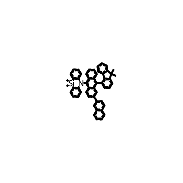 CC1(C)c2ccccc2-c2c(-c3c4ccccc4c(N4c5ccccc5[Si](C)(C)c5ccccc54)c4ccc(-c5ccc6ccccc6c5)cc34)cccc21